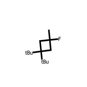 CC1(F)CC(C(C)(C)C)(C(C)(C)C)C1